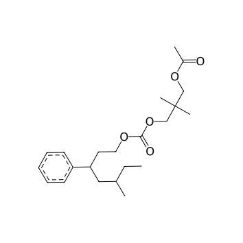 CCC(C)CC(CCOC(=O)OCC(C)(C)COC(C)=O)c1ccccc1